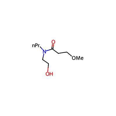 CCCN(CCO)C(=O)CCOC